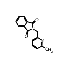 Cc1cccc(CN2C(=O)c3ccccc3C2=O)n1